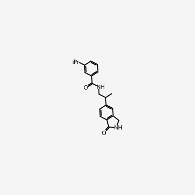 CC(C)c1cccc(C(=O)NCC(C)c2ccc3c(c2)CNC3=O)c1